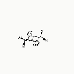 N#CC(C#N)=c1cc2c(cc(=C(C#N)C#N)c3ccoc32)c2occc12